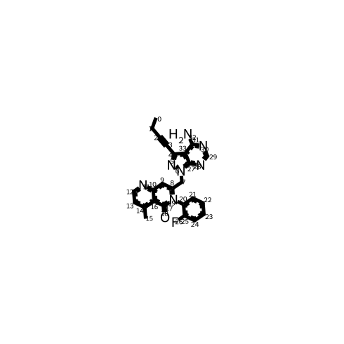 CCC#Cc1nn(Cc2cc3nccc(C)c3c(=O)n2-c2ccccc2F)c2ncnc(N)c12